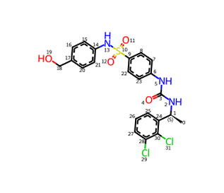 C[C@H](NC(=O)Nc1ccc(S(=O)(=O)Nc2ccc(CO)cc2)cc1)c1cccc(Cl)c1Cl